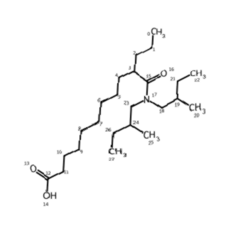 CCCC(CCCCCCCCC(=O)O)C(=O)N(CC(C)CC)CC(C)CC